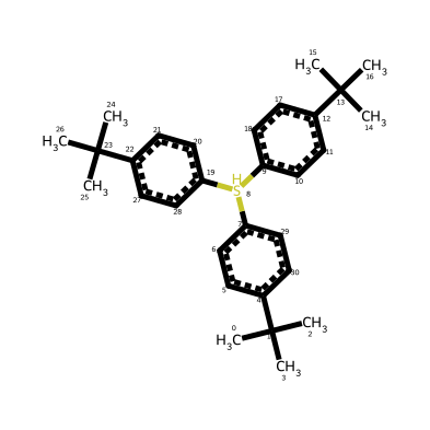 CC(C)(C)c1ccc([SH](c2ccc(C(C)(C)C)cc2)c2ccc(C(C)(C)C)cc2)cc1